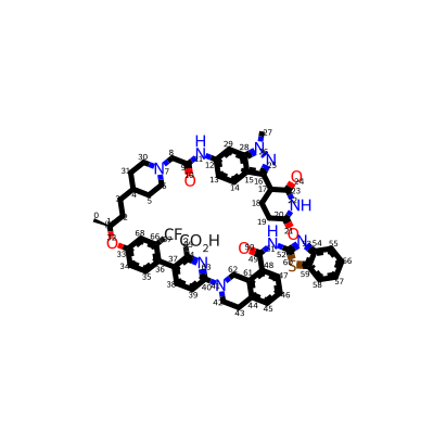 C[C@@H](CCC1CCN(CC(=O)Nc2ccc3c(C4CCC(=O)NC4=O)nn(C)c3c2)CC1)Oc1ccc(-c2ccc(N3CCc4cccc(C(=O)Nc5nc6ccccc6s5)c4C3)nc2C(=O)O)c(C(F)(F)F)c1